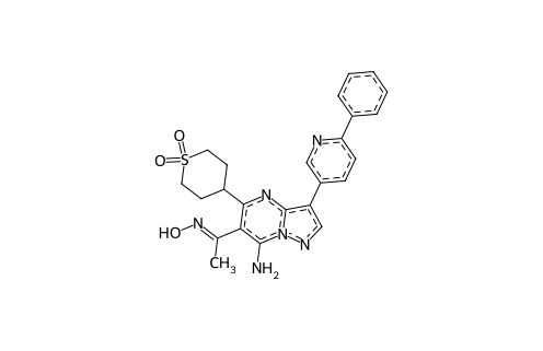 C/C(=N\O)c1c(C2CCS(=O)(=O)CC2)nc2c(-c3ccc(-c4ccccc4)nc3)cnn2c1N